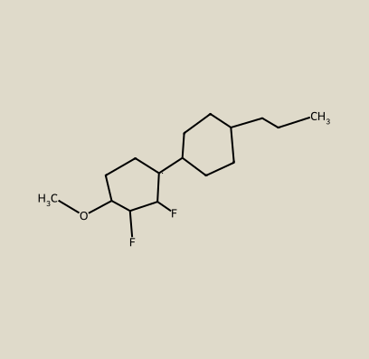 CCCC1CCC([C]2CCC(OC)C(F)C2F)CC1